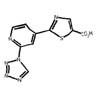 O=C(O)c1cnc(-c2ccnc(-n3cnnn3)c2)s1